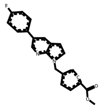 COC(=O)c1ccc(Cn2ccc3cc(-c4ccc(F)cc4)cnc32)cc1